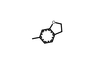 Cc1ccc2c(c1)OCC2